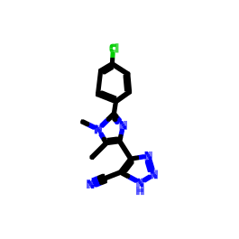 Cc1c(-c2nn[nH]c2C#N)nc(-c2ccc(Cl)cc2)n1C